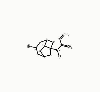 C=CC(=C)N(CC)C12CC3CC(CC)CC(C1)C2C3